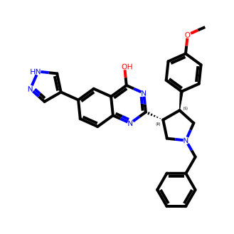 COc1ccc([C@H]2CN(Cc3ccccc3)C[C@@H]2c2nc(O)c3cc(-c4cn[nH]c4)ccc3n2)cc1